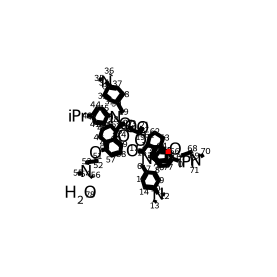 CC(C)c1ccc(N(Cc2ccc(N(C)C)cc2)C(=O)C2(OC(=O)C(=O)OC3(C(=O)N(Cc4ccc(N(C)C)cc4)c4ccc(C(C)C)cc4)CCCc4c(OCCN(C)C)cccc43)CCCc3c(OCCN(C)C)cccc32)cc1.O